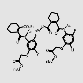 CCCCOC(=O)CSc1cc(N(C(C)=O)C(=O)C2=C(C(=O)OCC)CCCC2)c(F)cc1Cl.CCCCOC(=O)CSc1cc(N(C(C)=O)C(=O)C2=C(C(=O)OCCC)CCCC2)c(F)cc1Cl